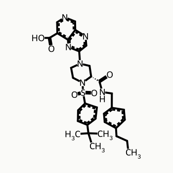 CCCc1ccc(CNC(=O)[C@H]2CN(c3cnc4cncc(C(=O)O)c4n3)CCN2S(=O)(=O)c2ccc(C(C)(C)C)cc2)cc1